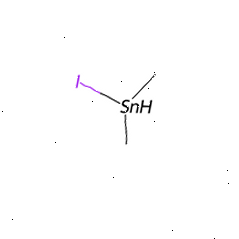 [CH3][SnH]([CH3])[I]